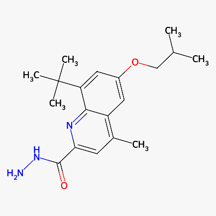 Cc1cc(C(=O)NN)nc2c(C(C)(C)C)cc(OCC(C)C)cc12